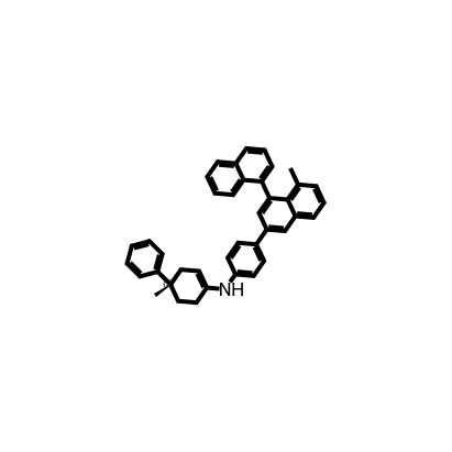 Cc1cccc2cc(-c3ccc(NC4=CC[C@@](C)(c5ccccc5)CC4)cc3)cc(-c3cccc4ccccc34)c12